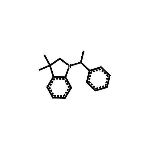 CC(c1ccccc1)N1CC(C)(C)c2ccccc21